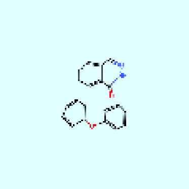 O=c1[nH]ncc2ccccc12.c1ccc(Oc2ccccc2)cc1